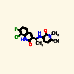 C[C@@H](Nc1ccc(C#N)n(C)c1=O)c1cc2ccc(F)c(Cl)c2[nH]c1=O